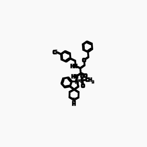 CS(=O)(=O)[N+]1(NC(=O)C(COCc2ccccc2)NCc2ccc(Cl)cc2)CC2(CCNCC2)c2ccccc21